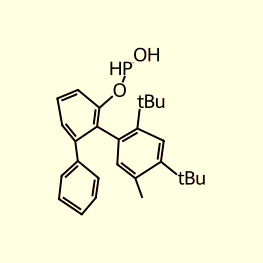 Cc1cc(-c2c(OPO)cccc2-c2ccccc2)c(C(C)(C)C)cc1C(C)(C)C